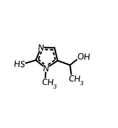 CC(O)c1cnc(S)n1C